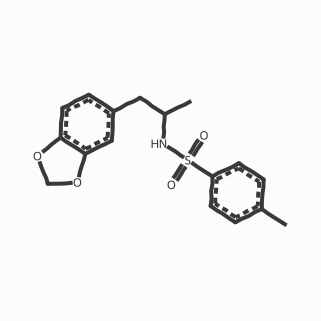 Cc1ccc(S(=O)(=O)NC(C)Cc2ccc3c(c2)OCO3)cc1